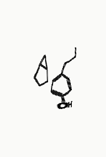 C1CC2CC2C1.CCCc1ccc(O)cc1